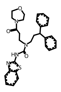 O=C(CCN(CCC(c1ccccc1)c1ccccc1)C(=O)Nc1nc2ccccc2s1)N1CCOCC1